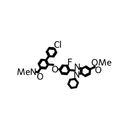 CNC(=O)c1ccc(-c2ccc(Cl)cc2)c(COc2ccc(-c3nc4cc(C(=O)OC)ccc4n3C3CCCCC3)c(F)c2)c1